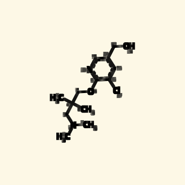 CN(C)CC(C)(C)COc1ncc(CO)cc1Cl